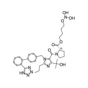 CCCc1nc(C(C)(C)O)c(C(=O)N2CCC[C@H]2C(=O)OCCCCON(O)O)n1Cc1ccc(-c2ccccc2-c2nnn[nH]2)cc1